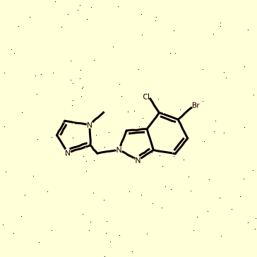 Cn1ccnc1Cn1cc2c(Cl)c(Br)ccc2n1